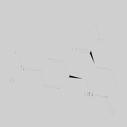 CCOC(=O)[C@H]1CCC(=O)N[C@H]1c1ccc([N+](=O)[O-])cc1